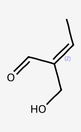 C/C=C(\C=O)CO